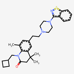 Cc1cc(CCN2CCN(c3nsc4ccccc34)CC2)cc2c1N(CC1CCC1)C(=O)CC2(C)C